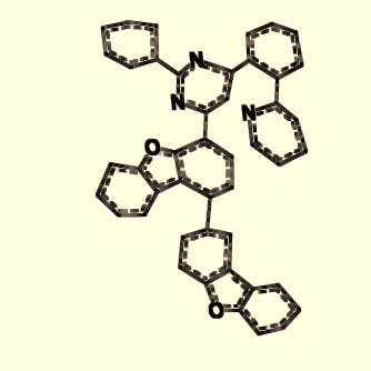 c1ccc(-c2nc(-c3ccccc3-c3ccccn3)cc(-c3ccc(-c4ccc5oc6ccccc6c5c4)c4c3oc3ccccc34)n2)cc1